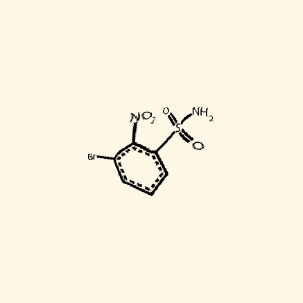 NS(=O)(=O)c1cccc(Br)c1[N+](=O)[O-]